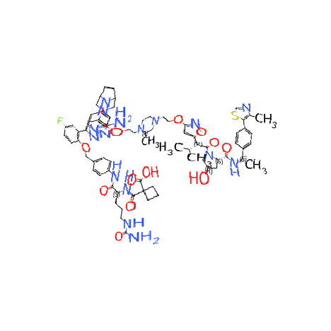 Cc1ncsc1-c1ccc([C@H](C)NC(=O)[C@@H]2C[C@@H](O)CN2C(=O)[C@@H](c2cc(OCCN3CCN(CCOc4cc(N5C6CCC5CN(c5cc(-c7cc(F)ccc7OCc7ccc(NC(=O)[C@H](CCCNC(N)=O)NC(=O)C8(C(=O)O)CCC8)cc7)nnc5N)C6)ccn4)[C@H](C)C3)no2)C(C)C)cc1